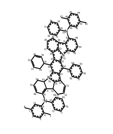 Cc1ccc(C)c(N(C2=C3C4CC=Cc5c4n(c4c(C6C=CC=CC6)c6c7cccc8c9c(N(c%10ccccc%10)c%10cc(C)ccc%10C)cccc9n(c6c(-c6ccccc6)c54)c87)C3CC=C2)c2ccccc2)c1